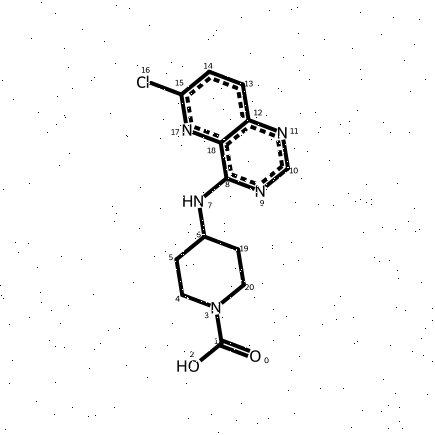 O=C(O)N1CCC(Nc2ncnc3ccc(Cl)nc23)CC1